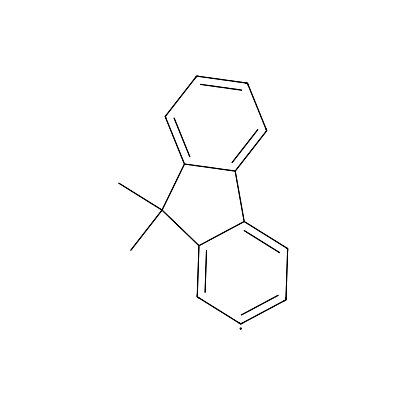 CC1(C)c2c[c]ccc2-c2ccccc21